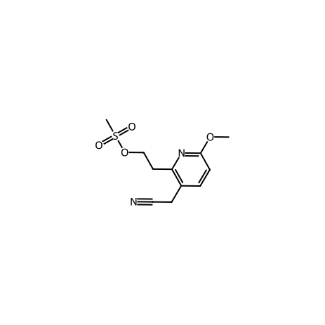 COc1ccc(CC#N)c(CCOS(C)(=O)=O)n1